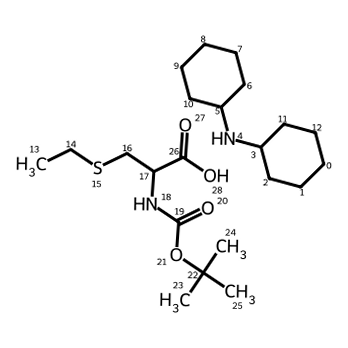 C1CCC(NC2CCCCC2)CC1.CCSCC(NC(=O)OC(C)(C)C)C(=O)O